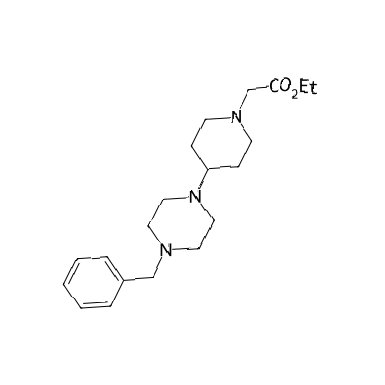 CCOC(=O)CN1CCC(N2CCN(Cc3ccccc3)CC2)CC1